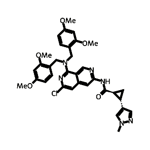 COc1ccc(CN(Cc2ccc(OC)cc2OC)c2nc(Cl)cc3cc(NC(=O)[C@H]4C[C@@H]4c4cnn(C)c4)ncc23)c(OC)c1